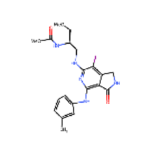 COC[C@@H](CNc1nc(Nc2cccc(C)c2)c2c(c1I)CNC2=O)NC(=O)OC